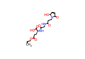 C=CCOC(=O)CC[C@H](NC(=O)CNC(=O)CCN1C(=O)C=CC1O)C(=O)O